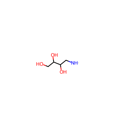 [NH]CC(O)C(O)CO